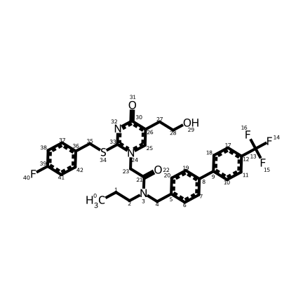 CCCN(Cc1ccc(-c2ccc(C(F)(F)F)cc2)cc1)C(=O)Cn1cc(CCO)c(=O)nc1SCc1ccc(F)cc1